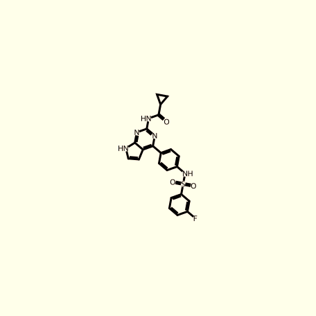 O=C(Nc1nc(-c2ccc(NS(=O)(=O)c3cccc(F)c3)cc2)c2cc[nH]c2n1)C1CC1